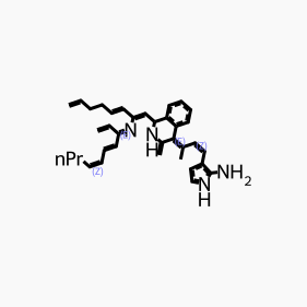 C=CCCC=CC(=CC1NC(=C)/C(=C(C)/C=C\c2cc[nH]c2N)c2ccccc21)/N=C(\C=C)C=C/C=C\CCC